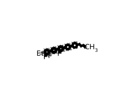 C/C=C/CCC1CCC(C2CCC(c3ccc(-c4ccc(-c5ccc(CC)c(F)c5F)cc4)c(F)c3)CC2)CC1